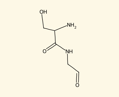 NC(CO)C(=O)NCC=O